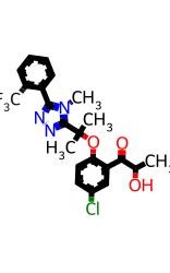 CC(O)C(=O)c1cc(Cl)ccc1OC(C)(C)c1nnc(-c2ccccc2C(F)(F)F)n1C